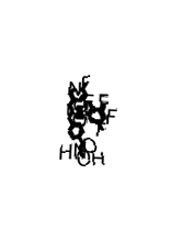 O=C(NO)c1ccc(CN(Cc2ccc(F)nc2)S(=O)(=O)c2cc(F)c(F)c(F)c2F)cc1